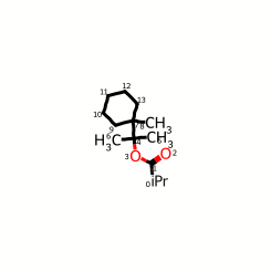 CC(C)C(=O)OC(C)(C)C1(C)CCCCC1